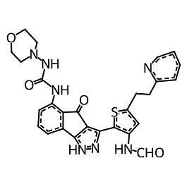 O=CNc1cc(CCc2ccccn2)sc1-c1n[nH]c2c1C(=O)c1c(NC(=O)NN3CCOCC3)cccc1-2